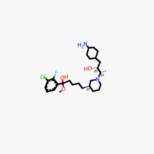 COC(O)(CCCC[C@@H]1CCCN([C@@H](C)[C@H](O)CC2CCC(N)CC2)C1)c1cccc(Cl)c1F